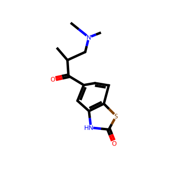 CC(CN(C)C)C(=O)c1ccc2sc(=O)[nH]c2c1